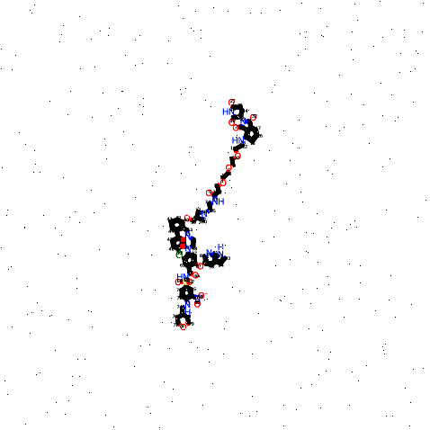 O=C(CCOCCOCCOCCNc1cccc2c1C(=O)N(C1CCC(=O)NC1=O)C2=O)NCCN1CC(COc2cccc(-c3ccc(Cl)cc3)c2CN2CCN(c3ccc(C(=O)NS(=O)(=O)c4ccc(NCC5CCOCC5)c([N+](=O)[O-])c4)c(Oc4cnc5[nH]ccc5c4)c3)CC2)C1